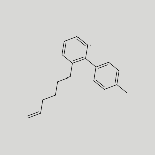 C=CCCCCc1ccc[c]c1-c1ccc(C)cc1